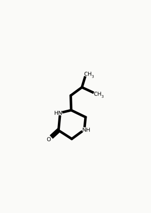 CC(C)CC1CNCC(=O)N1